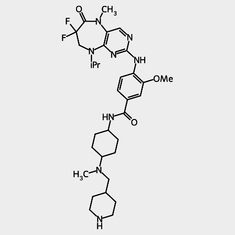 COc1cc(C(=O)NC2CCC(N(C)CC3CCNCC3)CC2)ccc1Nc1ncc2c(n1)N(C(C)C)CC(F)(F)C(=O)N2C